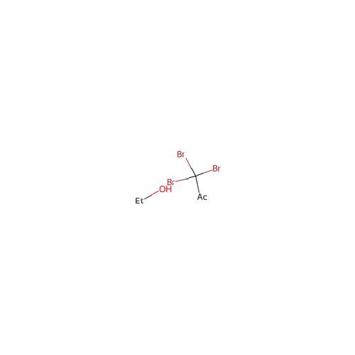 CC(=O)C(Br)(Br)Br.CCO